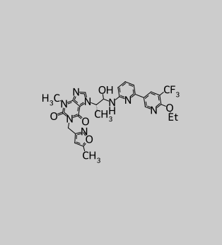 CCOc1ncc(-c2cccc(NC(O)[C@H](C)n3cnc4c3c(=O)n(Cc3cc(C)on3)c(=O)n4C)n2)cc1C(F)(F)F